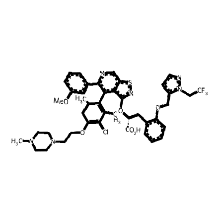 COc1cccc(-c2ncc3snc(O[C@H](Cc4ccccc4OCc4ccnn4CC(F)(F)F)C(=O)O)c3c2C2=C(C)C(Cl)=C(OCCN3CCN(C)CC3)CC2C)c1